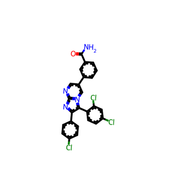 NC(=O)c1cccc(-c2cnc3nc(-c4ccc(Cl)cc4)c(-c4ccc(Cl)cc4Cl)n3c2)c1